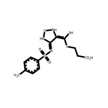 Cc1ccc(S(=O)(=O)/N=C2\NONC2=C(S)SCCC(=O)O)cc1